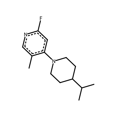 Cc1cnc(F)cc1N1CCC(C(C)C)CC1